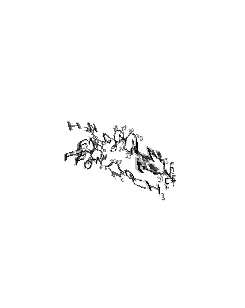 COc1ccc(Cn2ncc(NC(CN)CO[C@@H]3CCN(C4CCN(c5ncc(C(F)(F)F)cn5)CC4)C3=O)c(C(F)(F)F)c2=O)cc1